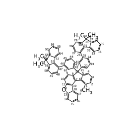 Cc1cccc2c1-c1c(ccc3oc4ccccc4c13)C2(c1cccc(-c2cccc3c2-c2ccccc2C3(C)C)c1)c1cccc(-c2cccc3c2-c2ccccc2C3(C)C)c1